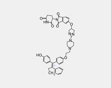 CC/C(=C(\c1ccc(O)cc1)c1ccc(OCCN2CCN(C3N4CC(Oc5ccc6c(c5)C(=O)N(C5CCC(=O)NC5=O)C6=O)CN34)CC2)cc1)c1ccccc1